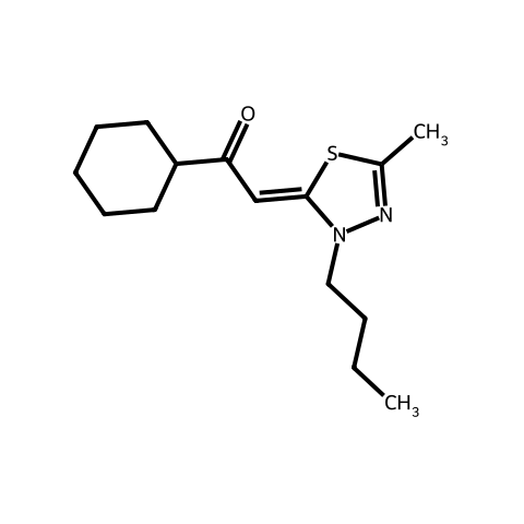 CCCCN1N=C(C)SC1=CC(=O)C1CCCCC1